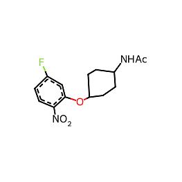 CC(=O)NC1CCC(Oc2cc(F)ccc2[N+](=O)[O-])CC1